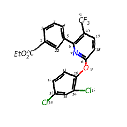 CCOC(=O)c1cccc(-c2nc(Oc3ccc(Cl)cc3Cl)ccc2C(F)(F)F)c1